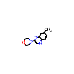 Cc1ccc2ncc(N3CCOCC3)nc2c1